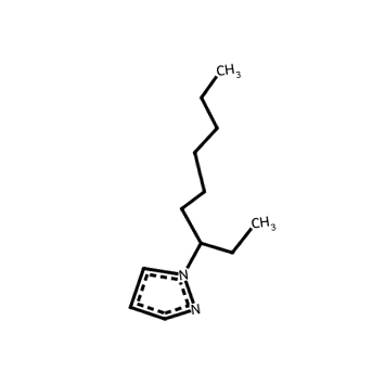 CCCCCCC(CC)n1cccn1